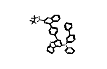 CC1(C)OB(c2cc(-c3ccc(-c4cc(N(c5ccccc5)c5cccc(-c6ccccc6)c5)cc5c4sc4ccccc45)cc3)c3ccccc3c2)OC1(C)C